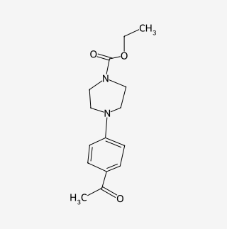 CCOC(=O)N1CCN(c2ccc(C(C)=O)cc2)CC1